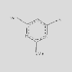 CSc1cc(C(C)C)nc(SC)n1